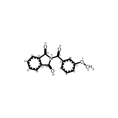 COc1cccc(C(=O)N2C(=O)c3ccccc3C2=O)c1